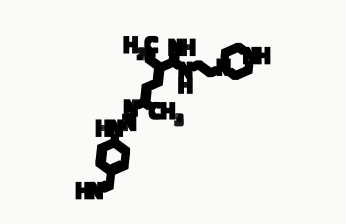 C=C\C(=C/C=C(C)/N=N/NC1C=CC(C=N)=CC1)C(=N)NCCN1CCNCC1